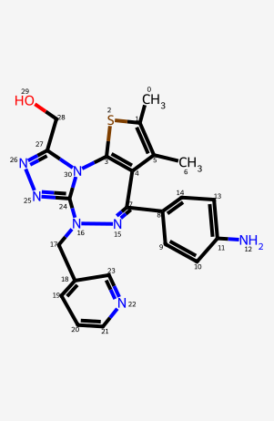 Cc1sc2c(c1C)C(c1ccc(N)cc1)=NN(Cc1cccnc1)c1nnc(CO)n1-2